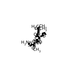 CON=C(C(=O)NC1C(=O)N2CC(SCC3CCCO3)(C(=O)OCOC(=O)C(C)(C)C)CS[C@H]12)c1csc(N)n1